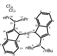 CCCCP(CCCC)C1=Cc2ccccc2[CH]1[Hf+2][CH]1C(P(CCC)CCC)=Cc2ccccc21.[Cl-].[Cl-]